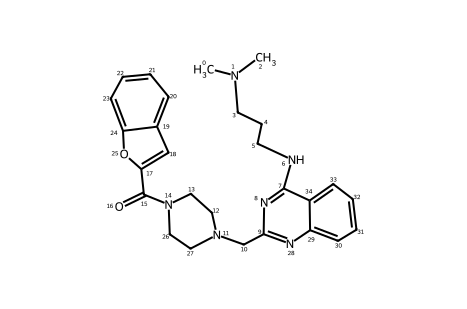 CN(C)CCCNc1nc(CN2CCN(C(=O)c3cc4ccccc4o3)CC2)nc2ccccc12